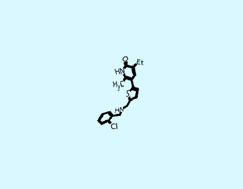 CCc1cc(C2=CCC(CNCc3ccccc3Cl)S2)c(C)[nH]c1=O